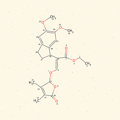 CCOC(=O)/C(=C/OC1OC(=O)C(C)=C1C)C1CCc2cc(OC)c(OC)cc21